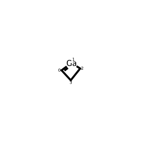 [CH]1=[Ga][CH2]C1